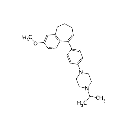 COc1ccc2c(c1)CCCC=C2c1ccc(N2CCN(C(C)C)CC2)cc1